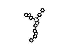 CCC1CC(c2ccc(-c3ccccc3)cc2)N=C(c2ccc3c(c2)oc2ccccc23)N=C1c1ccc(-c2ccc3c(c2)sc2ccc(-c4ccccc4)cc23)cc1